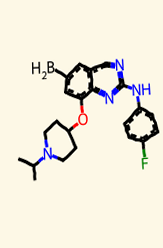 Bc1cc(OC2CCN(C(C)C)CC2)c2nc(Nc3ccc(F)cc3)ncc2c1